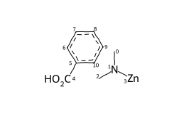 C[N](C)[Zn].O=C(O)c1ccccc1